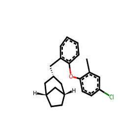 Cc1cc(Cl)ccc1Oc1ccccc1C[C@@H]1C[C@@H]2CC[C@@H](C2)C1